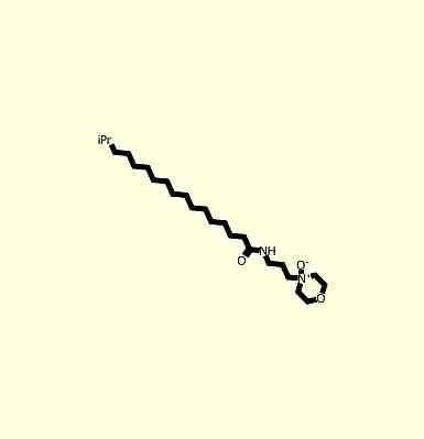 CC(C)CCCCCCCCCCCCCCC(=O)NCCC[N+]1([O-])CCOCC1